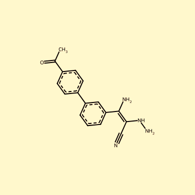 CC(=O)c1ccc(-c2cccc(/C(N)=C(\C#N)NN)c2)cc1